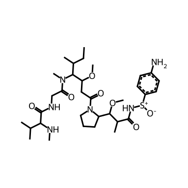 CCC(C)C(C(CC(=O)N1CCCC1C(OC)C(C)C(=O)N[S+]([O-])c1ccc(N)cc1)OC)N(C)C(=O)CNC(=O)C(NC)C(C)C